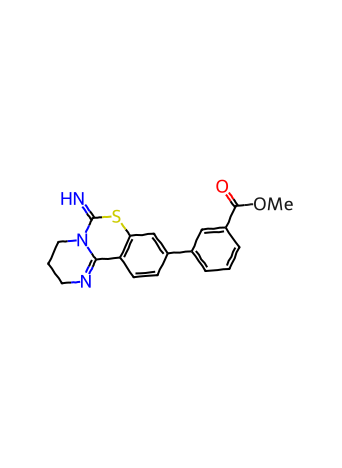 COC(=O)c1cccc(-c2ccc3c(c2)SC(=N)N2CCCN=C32)c1